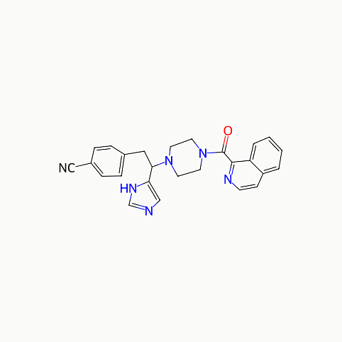 N#Cc1ccc(CC(c2cnc[nH]2)N2CCN(C(=O)c3nccc4ccccc34)CC2)cc1